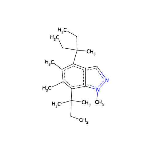 CCC(C)(C)c1c(C)c(C)c(C(C)(CC)CC)c2cnn(C)c12